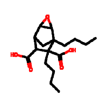 CCCCC12CC(C3OC31)C(C(=O)O)C2(CCCC)C(=O)O